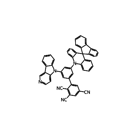 N#Cc1cc(C#N)c(C#N)c(-c2cc(N3c4ccccc4C4(c5ccccc5-c5ccccc54)c4ccccc43)cc(-n3c4ccccc4c4cnccc43)c2)c1